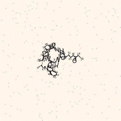 CCCn1cc(C[C@H]2NC(=O)[C@H](CCCCCC(=O)CC)NC(=O)[C@H]3CCCCN3C(=O)[C@H](C(C)CC)NC2=O)c2ccccc21